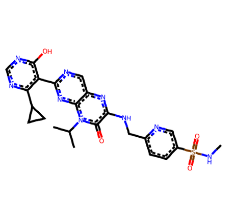 CNS(=O)(=O)c1ccc(CNc2nc3cnc(-c4c(O)ncnc4C4CC4)nc3n(C(C)C)c2=O)nc1